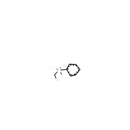 CC(C)COP(O)(O)(CC(C)C)c1ccccc1